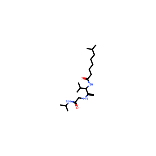 C=C(NCC(=O)NC(C)C)C(NC(=O)CCCCCC(C)C)C(C)C